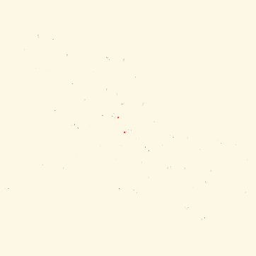 c1ccc(-c2ccc(N(c3ccc(-c4ccccc4)cc3)c3cccc(-c4ccccc4N(c4ccc(-c5ccccc5)cc4)c4ccc(-c5cccc6sc7ccccc7c56)cc4)c3)cc2)cc1